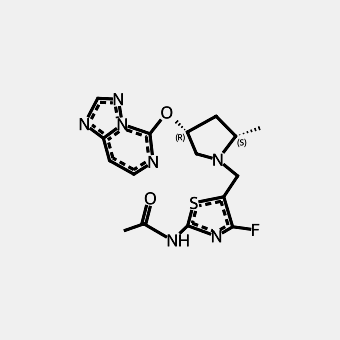 CC(=O)Nc1nc(F)c(CN2C[C@H](Oc3nccc4ncnn34)C[C@@H]2C)s1